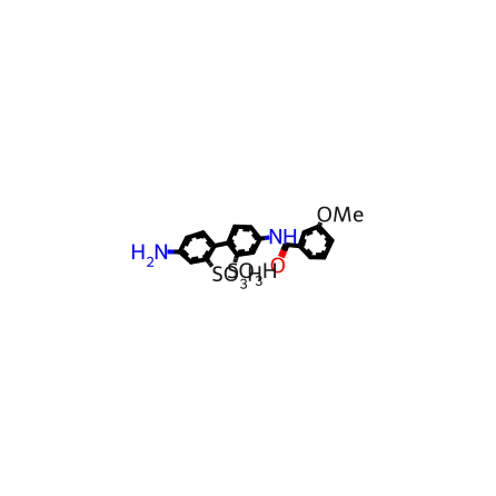 COc1cccc(C(=O)Nc2ccc(-c3ccc(N)cc3S(=O)(=O)O)c(S(=O)(=O)O)c2)c1